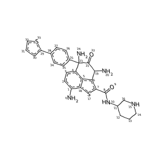 Nc1ccc2c3c(c(C(=O)NC4CCCNC4)sc13)C(N)C(=O)C2(N)c1ccc(-c2cccs2)cc1